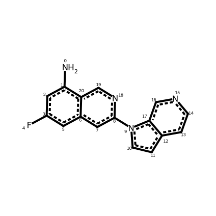 Nc1cc(F)cc2cc(-n3ccc4ccncc43)ncc12